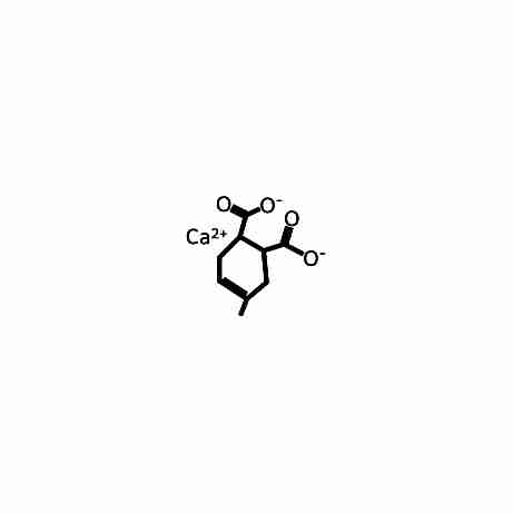 CC1=CCC(C(=O)[O-])C(C(=O)[O-])C1.[Ca+2]